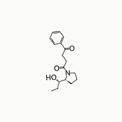 CC[C@@H](O)[C@@H]1CCCN1C(=O)CCC(=O)c1ccccc1